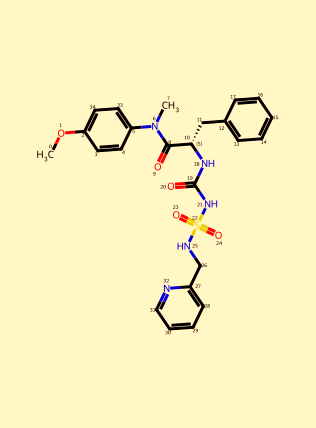 COc1ccc(N(C)C(=O)[C@H](Cc2ccccc2)NC(=O)NS(=O)(=O)NCc2ccccn2)cc1